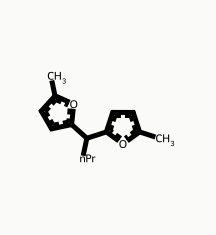 CCCC(c1ccc(C)o1)c1ccc(C)o1